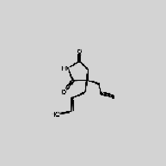 C=CCC1(CC=CO)CC(=O)NC1=O